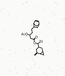 C=C1CC(C(CC)OC(=O)CC(CCC2CC3C=CC2C3)OC(C)=O)CC2CC12